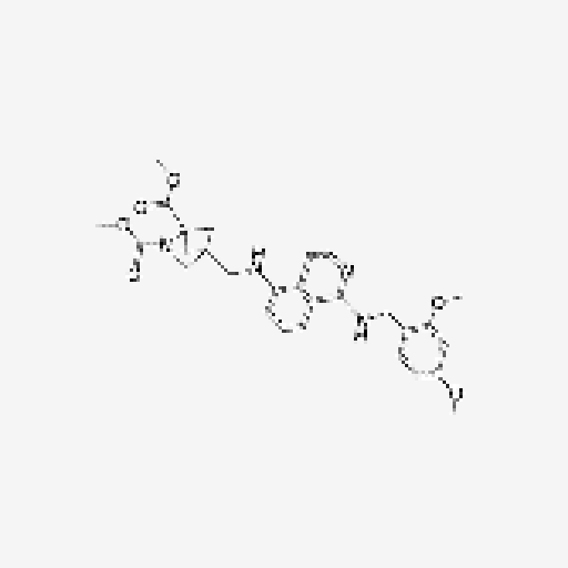 COC(=O)N1CC2(CNc3cccc4c(NCc5ccc(OC)cc5OC)nccc34)CC1(C(=O)OC)C2